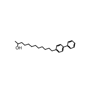 CC(O)CCCCCCCCCCc1ccc(-c2ccccc2)cc1